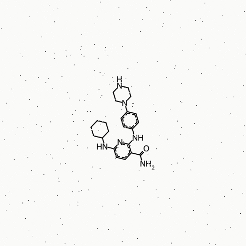 NC(=O)c1ccc(NC2CCCCC2)nc1Nc1ccc(N2CCNCC2)cc1